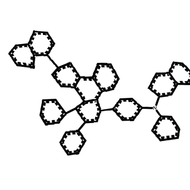 c1ccc(-c2cc(-c3ccc(N(c4ccccc4)c4ccc5ccccc5c4)cc3)c3c4ccccc4c4cc(-c5cccc6ccccc56)ccc4c3c2-c2ccccc2)cc1